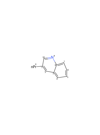 CCCc1[c]c2ccccc2nc1